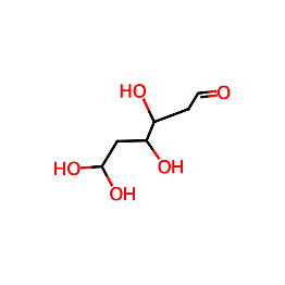 O=CCC(O)C(O)CC(O)O